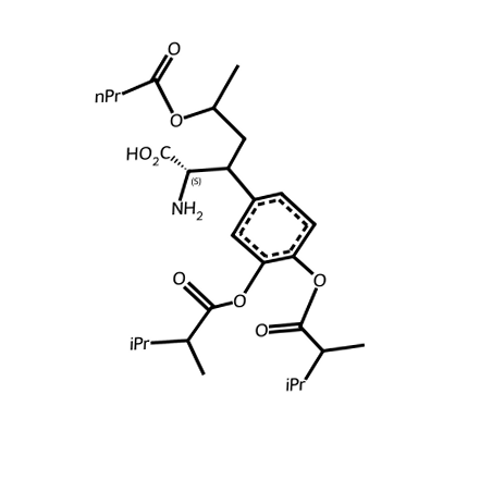 CCCC(=O)OC(C)CC(c1ccc(OC(=O)C(C)C(C)C)c(OC(=O)C(C)C(C)C)c1)[C@H](N)C(=O)O